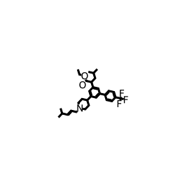 CCOC(=O)C(CC(C)C)c1cc(-c2ccc(C(F)(F)F)cc2)cc(C2CCN(C/C=C/C(C)C)CC2)c1